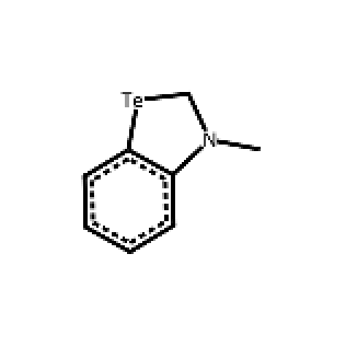 CN1C[Te]c2ccccc21